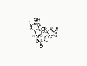 CC(Cc1ccc2c(-c3ccc(F)cc3Cl)cc(=O)oc2c1)C(=O)O